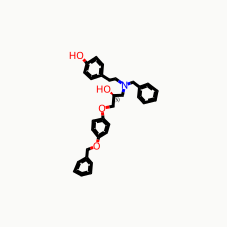 Oc1ccc(CCN(Cc2ccccc2)C[C@H](O)COc2ccc(OCc3ccccc3)cc2)cc1